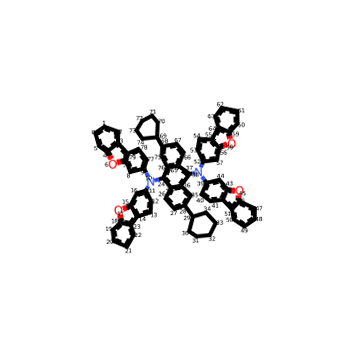 c1ccc2c(c1)oc1cc(N(c3ccc4c(c3)oc3ccccc34)c3c4ccc(C5CCCCC5)cc4c(N(c4ccc5c(c4)oc4ccccc45)c4ccc5c(c4)oc4ccccc45)c4ccc(C5CCCCC5)cc34)ccc12